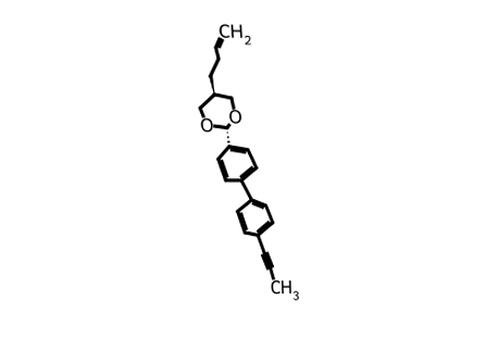 C=CCC[C@H]1CO[C@H](c2ccc(-c3ccc(C#CC)cc3)cc2)OC1